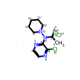 CC(=O)C(C)N(c1nccnc1Cl)N1CCCCC1.Cl